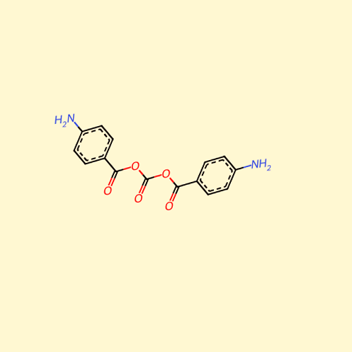 Nc1ccc(C(=O)OC(=O)OC(=O)c2ccc(N)cc2)cc1